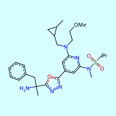 COCCN(CC1CC1C)c1cc(-c2nnc(C(C)(N)Cc3ccccc3)o2)cc(N(C)S(=O)(=O)C(C)C)n1